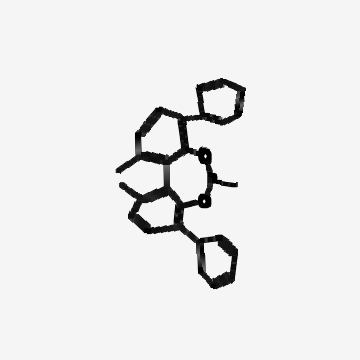 Cc1ccc(-c2ccccc2)c2op(C)oc3c(-c4ccccc4)ccc(C)c3c12